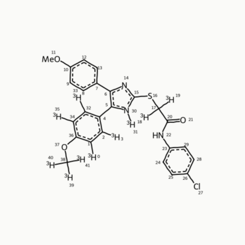 [3H]c1c([3H])c(-c2c(-c3ccc(OC)cc3)nc(SC([3H])([3H])C(=O)Nc3ccc(Cl)cc3)n2[3H])c([3H])c([3H])c1OC([3H])([3H])[3H]